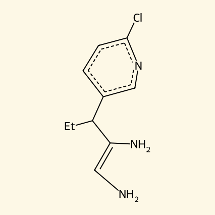 CCC(/C(N)=C/N)c1ccc(Cl)nc1